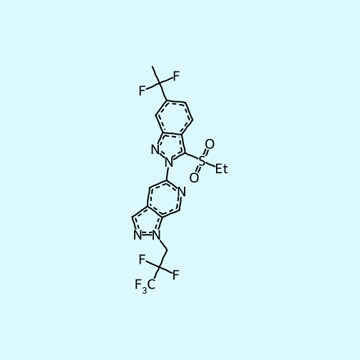 CCS(=O)(=O)c1c2ccc(C(C)(F)F)cc2nn1-c1cc2cnn(CC(F)(F)C(F)(F)F)c2cn1